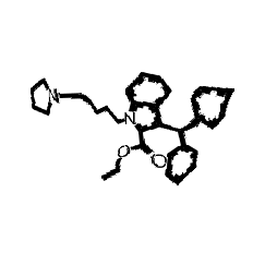 CCOC(=O)c1c(C(c2ccccc2)c2ccccc2)c2ccccc2n1CCCCN1CCCC1